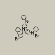 CN(c1ccccc1)c1cc[n+](C2([n+]3ccc(N(C)c4ccccc4)cc3)c3cccc(c3)-c3cccc2c3)cc1.[Br-].[Br-]